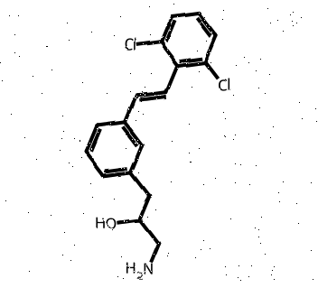 NCC(O)Cc1cccc(C=Cc2c(Cl)cccc2Cl)c1